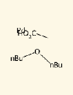 CC(=O)O.CCCCOCCCC.[Pd]